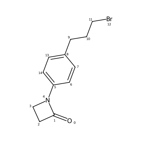 O=C1CCN1c1ccc(CCCBr)cc1